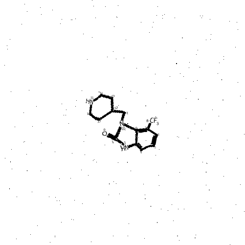 O=c1[nH]c2cccc(C(F)(F)F)c2n1CC1CCNCC1